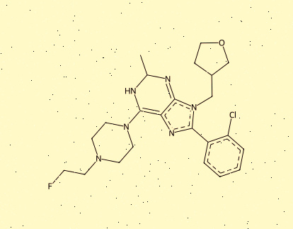 CC1N=c2c(nc(-c3ccccc3Cl)n2CC2CCOC2)=C(N2CCN(CCF)CC2)N1